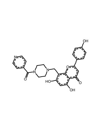 O=C(c1ccncc1)N1CCN(Cc2c(O)cc(O)c3c(=O)cc(-c4ccc(O)cc4)oc23)CC1